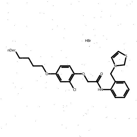 Br.CCCCCCCCCCCCCCOc1ccc(OCC(=O)Nc2ccccc2CN2C=CSC2)c(Cl)c1